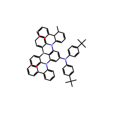 CC1C=C2C(=CC1)B1c3ccccc3N(c3ccccc3-c3ccccc3)c3cc(N(c4ccc(C(C)(C)C)cc4)c4ccc(C(C)(C)C)cc4)cc(c31)N2C1=CC=CC(C)C1c1ccccc1